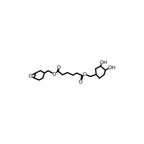 O=C(CCCCC(=O)OCC1CCC2OC2C1)OCC1CCC(O)C(O)C1